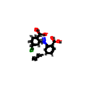 O=C([O-])c1ccccc1Nc1cc(Cl)ccc1C(=O)[O-].[Na+].[Na+]